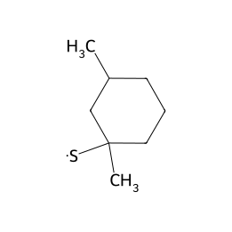 CC1CCCC(C)([S])C1